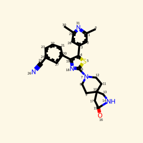 Cc1cc(-c2sc(N3CCC4(CC3)CNC(=O)C4)nc2-c2cccc(C#N)c2)cc(C)n1